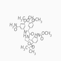 COC(=O)Nc1ccc(S(=O)(=O)C(C)C)c(C2CCCN2C(=O)[C@@H](Nc2cc(OC)cc(C(N)=O)c2)c2ccc(OC)c(OC)c2)c1